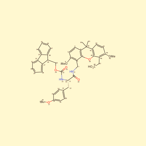 COc1ccc2c(c1CNC(=O)[C@H](Cc1ccc(OC(C)(C)C)cc1)NC(=O)OCC1c3ccccc3-c3ccccc31)Oc1c(ccc(OC)c1CC(=O)O)C2(C)C